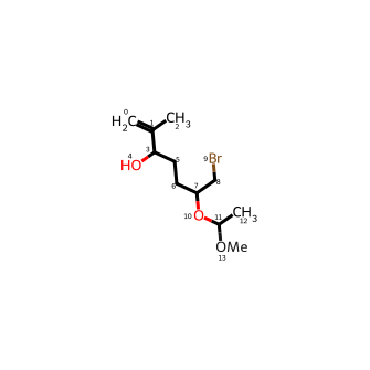 C=C(C)C(O)CCC(CBr)OC(C)OC